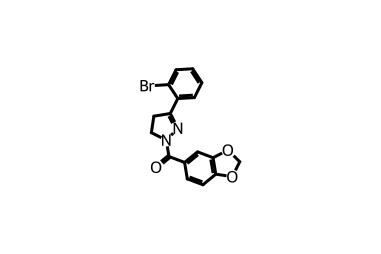 O=C(c1ccc2c(c1)OCO2)N1CCC(c2ccccc2Br)=N1